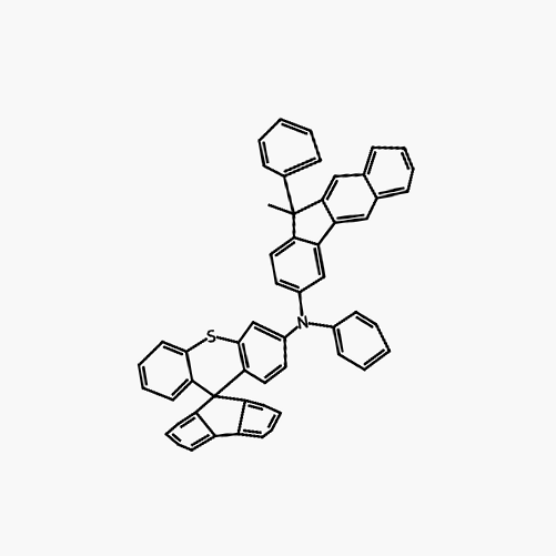 CC1(c2ccccc2)c2ccc(N(c3ccccc3)c3ccc4c(c3)Sc3ccccc3C43c4ccccc4-c4ccccc43)cc2-c2cc3ccccc3cc21